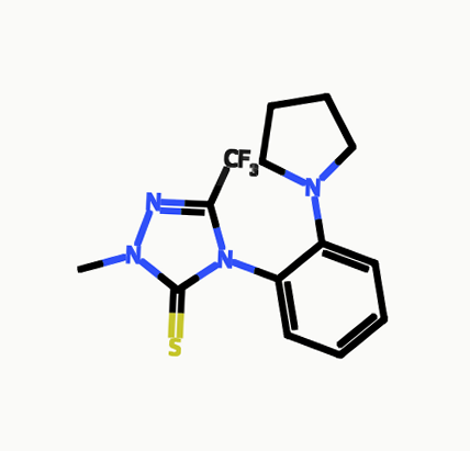 Cn1nc(C(F)(F)F)n(-c2ccccc2N2CCCC2)c1=S